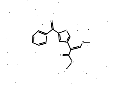 CO/C=C(/C(=O)OC)c1csc(C(=O)c2ccccc2)c1